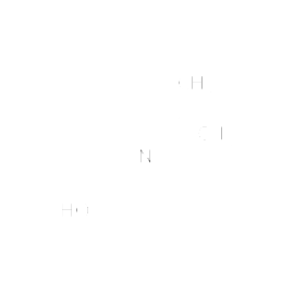 C[C](C)CN1CCCC(O)C1